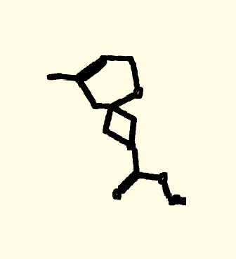 CC1=CCOC2(C1)CN(C(=O)OC(C)(C)C)C2